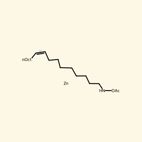 CCCCCCCC/C=C\CCCCCCCCNOC(C)=O.[Zn]